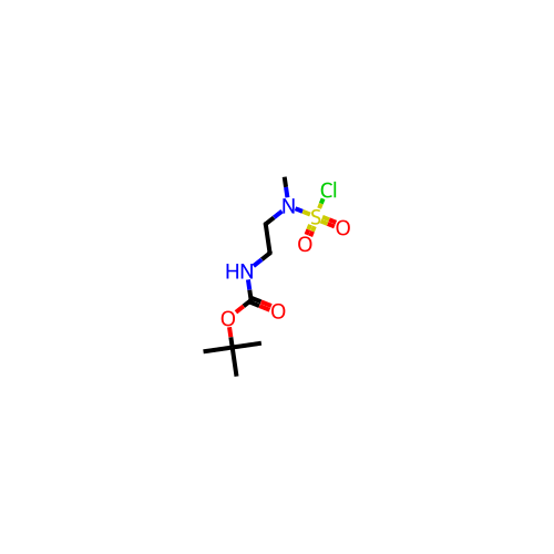 CN(CCNC(=O)OC(C)(C)C)S(=O)(=O)Cl